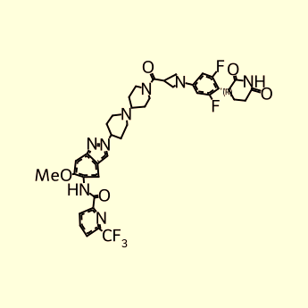 COc1cc2nn(C3CCN(C4CCN(C(=O)C5CN(c6cc(F)c([C@H]7CCC(=O)NC7=O)c(F)c6)C5)CC4)CC3)cc2cc1NC(=O)c1cccc(C(F)(F)F)n1